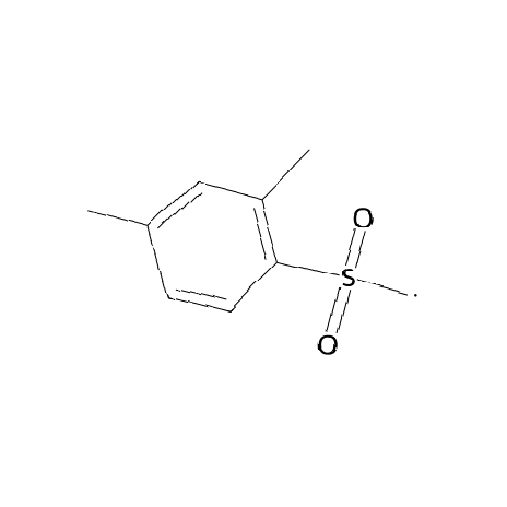 [CH2]S(=O)(=O)c1ccc(C)cc1C